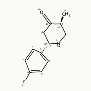 C[C@H]1CN[C@H](c2ccc(F)cc2)CC1=O